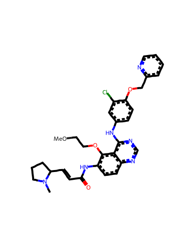 COCCOc1c(NC(=O)/C=C/C2CCCN2C)ccc2ncnc(Nc3ccc(OCc4ccccn4)c(Cl)c3)c12